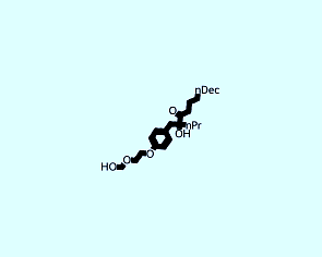 CCCCCCCCCCCCCC(=O)C(O)(CCC)Cc1ccc(OCCOCO)cc1